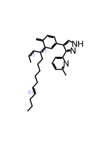 C=c1ccc(-c2c[nH]nc2-c2cccc(C)n2)c/c1=C(/C=C\C)CCCCC/C=C/CCC